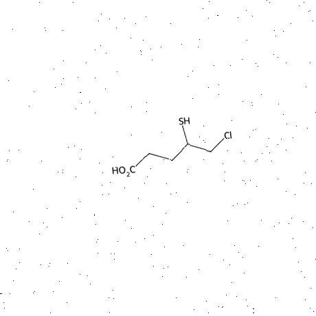 O=C(O)CCC(S)CCl